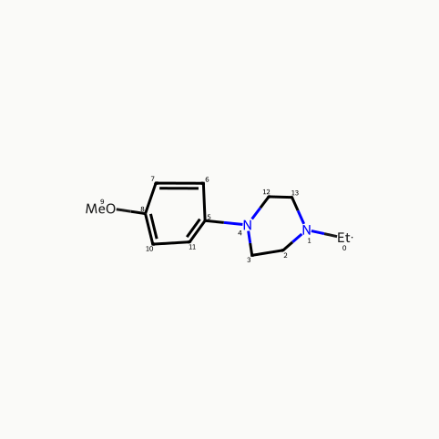 C[CH]N1CCN(c2ccc(OC)cc2)CC1